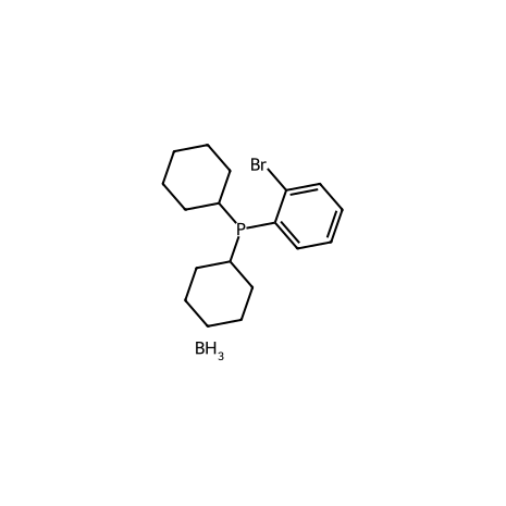 B.Brc1ccccc1P(C1CCCCC1)C1CCCCC1